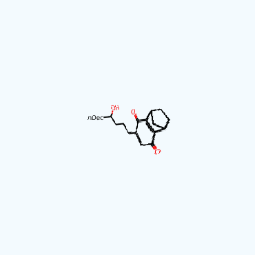 CCCCCCCCCCC(O)CCCC1=CC(=O)C2=C(C1=O)C1CCC2C1